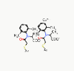 CC(=O)SCC(=O)N(c1c(C)cccc1C)C(C)C(=O)[O-].CC(=O)SCC(=O)N(c1c(C)cccc1C)C(C)C(=O)[O-].[Cu+2]